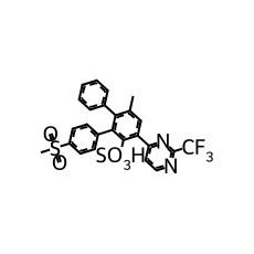 Cc1cc(-c2ccnc(C(F)(F)F)n2)c(S(=O)(=O)O)c(-c2ccc(S(C)(=O)=O)cc2)c1-c1ccccc1